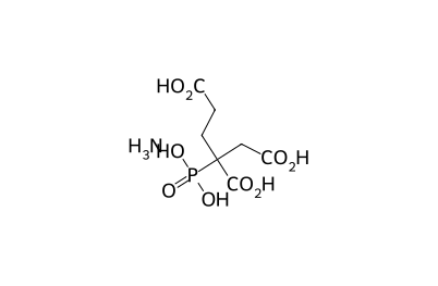 N.O=C(O)CCC(CC(=O)O)(C(=O)O)P(=O)(O)O